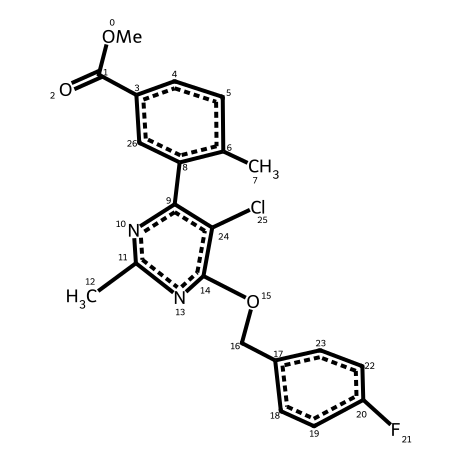 COC(=O)c1ccc(C)c(-c2nc(C)nc(OCc3ccc(F)cc3)c2Cl)c1